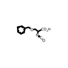 O=C=NC(COCc1ccccc1)C(=O)O